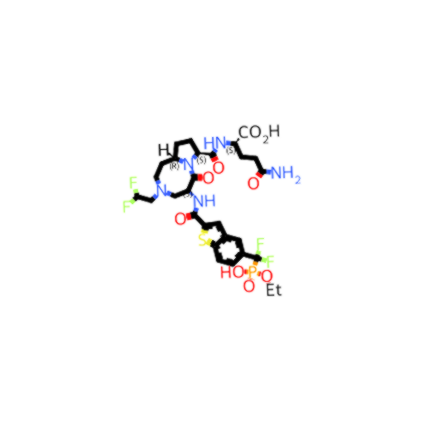 CCOP(=O)(O)C(F)(F)c1ccc2sc(C(=O)N[C@H]3CN(CC(F)F)CC[C@H]4CC[C@@H](C(=O)N[C@@H](CCC(N)=O)C(=O)O)N4C3=O)cc2c1